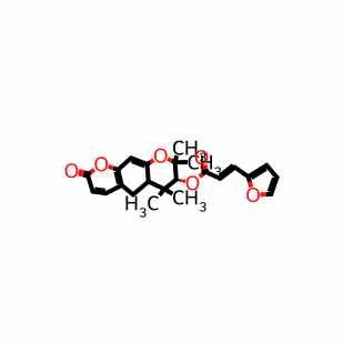 CC1(C)OC2=Cc3oc(=O)ccc3CC2C(C)(C)[C@@H]1OC(=O)/C=C/c1ccco1